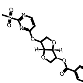 CS(=O)(=O)c1nccc(OC2CO[C@@H]3[C@@H](OC(=O)c4ccccc4)CO[C@H]23)n1